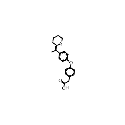 CC(=C1SCCCS1)c1ccc(Oc2ccc(CC(=O)O)cc2)cc1